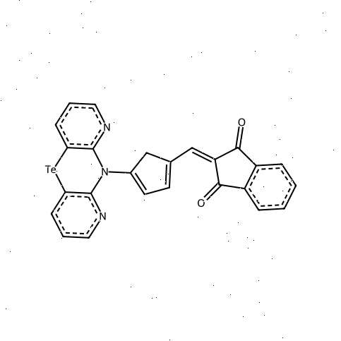 O=C1C(=CC2=CC=C(N3c4ncccc4[Te]c4cccnc43)C2)C(=O)c2ccccc21